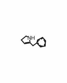 C1=C(Cc2ccccc2)NCC1